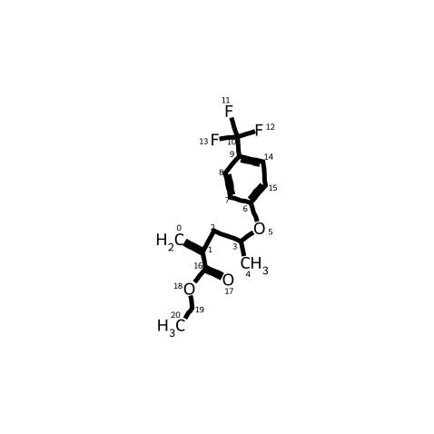 C=C(CC(C)Oc1ccc(C(F)(F)F)cc1)C(=O)OCC